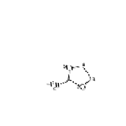 BC1OCCO1